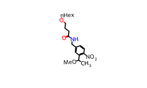 CCCCCCOCCCC(=O)NCc1ccc([N+](=O)[O-])c(C(C)OC)c1